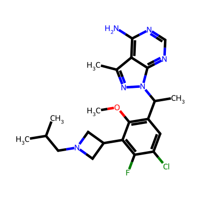 COc1c(C(C)n2nc(C)c3c(N)ncnc32)cc(Cl)c(F)c1C1CN(CC(C)C)C1